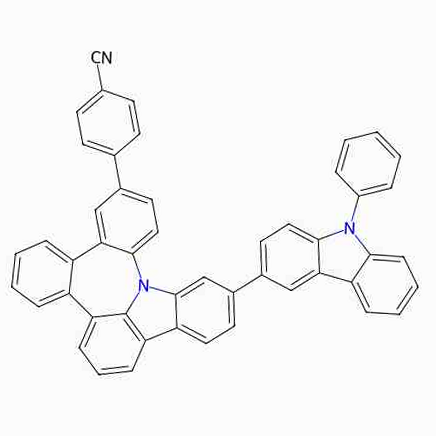 N#Cc1ccc(-c2ccc3c(c2)-c2ccccc2-c2cccc4c5ccc(-c6ccc7c(c6)c6ccccc6n7-c6ccccc6)cc5n-3c24)cc1